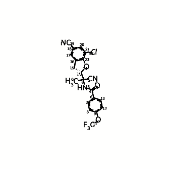 C[C@@](C#N)(NC(=O)c1ccc(OC(F)(F)F)cc1)[C@@H]1Cc2cc(C#N)cc(Cl)c2O1